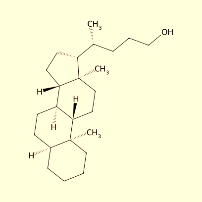 C[C@H](CCCO)[C@H]1CC[C@H]2[C@@H]3CC[C@@H]4CCCC[C@]4(C)[C@H]3CC[C@]12C